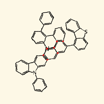 c1ccc(-c2ccccc2-c2c(-c3ccccc3)cccc2N(c2ccc(-c3cccc4sc5ccccc5c34)cc2)c2ccc3c(c2)c2ccccc2n3-c2ccccc2)cc1